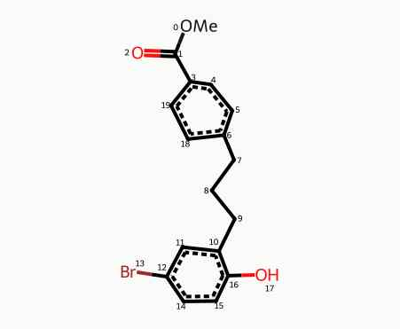 COC(=O)c1ccc(CCCc2cc(Br)ccc2O)cc1